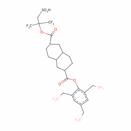 BCc1cc(CB)c(OC(=O)C2CCC3CC(C(=O)OC(CS(=O)(=O)O)(C(F)(F)F)C(F)(F)F)CCC3C2)c(CB)c1